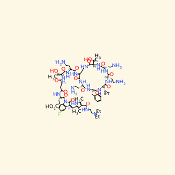 CCN(CC)CCNC(=O)c1c(C)[nH]c(/C=C2\C(=O)N(C(=O)[C@H](CCC(=O)O)NC(=O)CCC(=O)N[C@H](C(=O)N[C@@H](CCN)C(=O)N[C@@H]3CCNC(=O)[C@@H]([C@H](C)O)NC(=O)[C@H](CCN)NC(=O)[C@H](CCN)NC(=O)[C@H](CC(C)C)NC(=O)[C@H](Cc4ccccc4)NC(=O)[C@H](CCN)NC3=O)[C@H](C)O)c3ccc(F)cc32)c1C